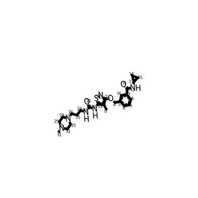 Cc1c(OCc2cccc(C(=O)NC3CC3)c2)nsc1NC(=O)NCCCN1CCN(C)CC1